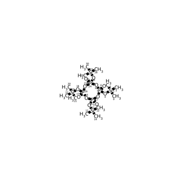 C[Si](C)(C)OP1(=O)OP(=O)(O[Si](C)(C)C)OP(=O)(O[Si](C)(C)C)OP(=O)(O[Si](C)(C)C)O1